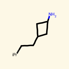 CC(C)CCC1CC(N)C1